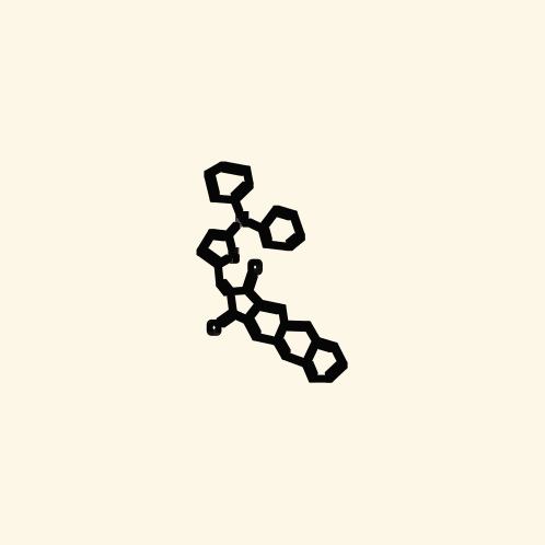 O=C1C(=Cc2ccc(N(c3ccccc3)c3ccccc3)s2)C(=O)c2cc3cc4ccccc4cc3cc21